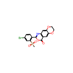 CS(=O)(=O)c1cc(Br)ccc1-c1nc2cc3c(cc2c(=O)o1)OCCO3